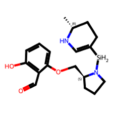 C[C@@H]1CCC([SiH2]N2CCC[C@H]2COc2cccc(O)c2C=O)=CN1